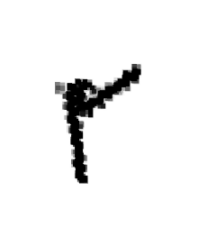 CCCCCCCCCCCCC(CCCN)NC(CCCN)CCCCCCCCCCCC